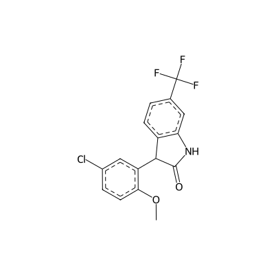 COc1ccc(Cl)cc1C1C(=O)Nc2cc(C(F)(F)F)ccc21